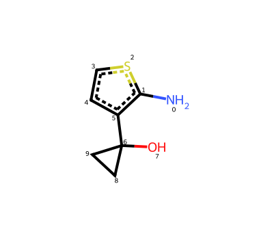 Nc1sccc1C1(O)CC1